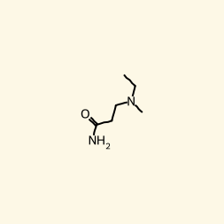 CCN(C)CCC(N)=O